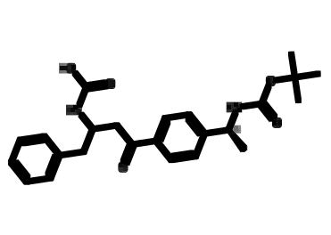 C[C@H](NC(=O)OC(C)(C)C)c1ccc(C(=O)CC(Cc2ccccc2)NC(=O)O)cc1